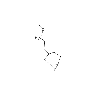 CO[SiH2]CCC1CCC2OC2C1